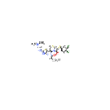 CN(C)CCNc1ncc(C2=C(NC(=O)CC(=O)O)N3C(=O)C(Sc4ccc(Cl)c(Cl)c4)C3SC2)s1